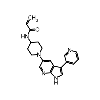 C=CC(=O)NC1CCN(c2cnc3[nH]cc(-c4cccnc4)c3c2)CC1